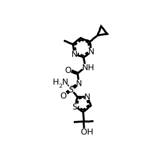 Cc1cc(C2CC2)nc(NC(=O)N=[S@](N)(=O)c2ncc(C(C)(C)O)s2)n1